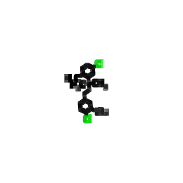 Cc1ccc(Cl)cc1C(C)(C)CCc1ccc(Cl)c(C(C)(C)C)c1